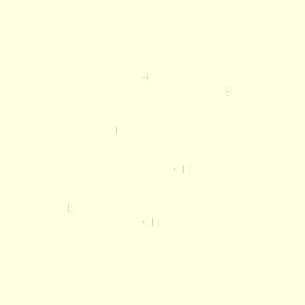 CC1=C(CCC2=C(C)C=C3C2=Cc2cc(Br)ccc2C3C)C2=Cc3cc(Br)ccc3C(C)C2=C1